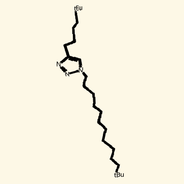 CC(C)(C)CCCCCCCCCCCn1cc(CCCCC(C)(C)C)nn1